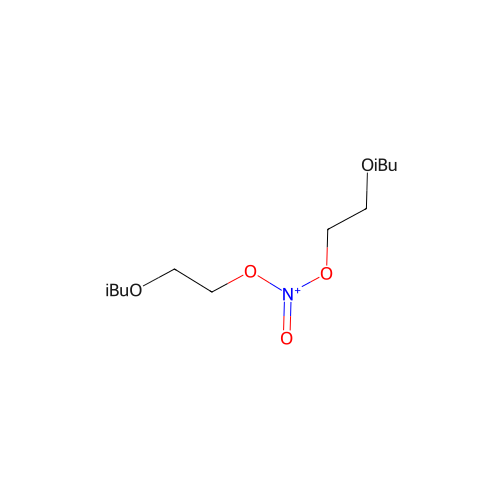 CC(C)COCCO[N+](=O)OCCOCC(C)C